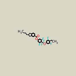 C=Cc1c(F)cc(OC(F)(F)c2c(F)cc(OC(=O)c3ccc4c(c3)CC(CCCC)C4)cc2F)cc1F